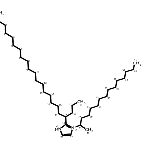 CCCCCCCCCCCCCCCCCCC(CCC)c1[nH]cc[n+]1C(C)CCCCCCCCCCCCC